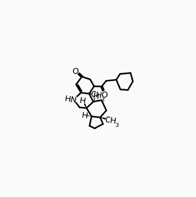 C[C@@]12CCC[C@H]1[C@@H]1CNC3=CC(=O)CC(C(=O)CC4CCCCC4)[C@]3(C)[C@H]1CC2